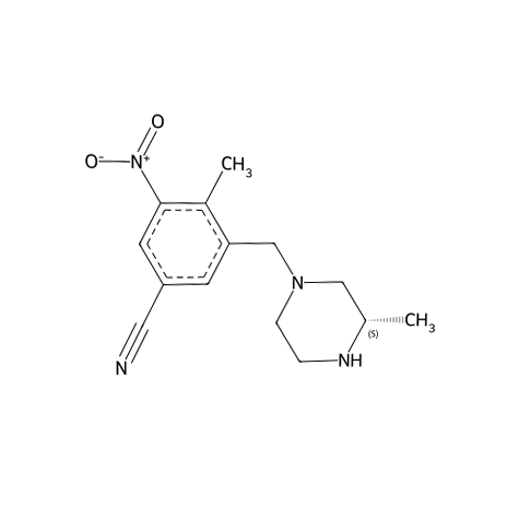 Cc1c(CN2CCN[C@@H](C)C2)cc(C#N)cc1[N+](=O)[O-]